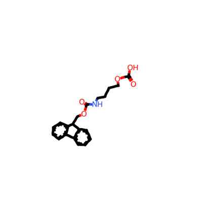 O=C(O)OCCCCNC(=O)OCC1c2ccccc2-c2ccccc21